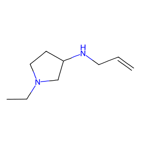 C=CCNC1CCN(CC)C1